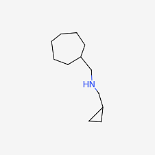 C1CCCC(CNCC2CC2)CC1